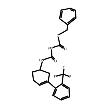 O=C(NC(=O)OCc1ccccc1)NC1CCC=C(c2ccccc2C(F)(F)F)C1